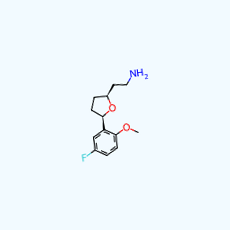 COc1ccc(F)cc1[C@H]1CC[C@@H](CCN)O1